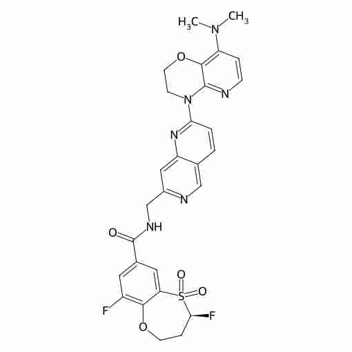 CN(C)c1ccnc2c1OCCN2c1ccc2cnc(CNC(=O)c3cc(F)c4c(c3)S(=O)(=O)[C@@H](F)CCO4)cc2n1